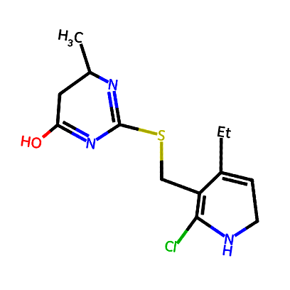 CCC1=CCNC(Cl)=C1CSC1=NC(C)CC(O)=N1